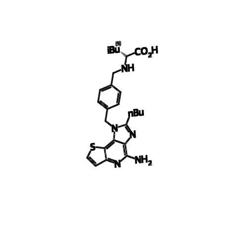 CCCCc1nc2c(N)nc3ccsc3c2n1Cc1ccc(CNC(C(=O)O)[C@@H](C)CC)cc1